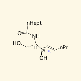 CCC/C=C/[C@@H](O)[C@H](CO)NC(=O)CCCCCCC